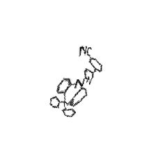 N#Cc1cccc(-c2ccc(N3c4ccccc4C(c4ccccc4)(c4ccccc4)c4ccccc43)nc2)c1